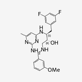 COc1cccc(CNC[C@@H](O)[C@H](Cc2cc(F)cc(F)c2)Nc2cc(C)nc(N)n2)c1